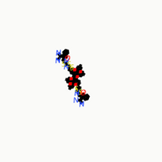 Cc1ccc(C2(c3ccc(C)cc3)c3cc(-c4cc5sc(/C=C6\C(=O)c7ccccc7C6=C(C#N)C#N)nc5s4)ccc3-c3cc4c(cc32)-c2cc3cc(-c5nc6sc(/C=C7\C(=O)c8ccccc8C7=C(C#N)C#N)nc6s5)sc3cc2C4(c2ccc(C)cc2)c2ccc(C)cc2)cc1